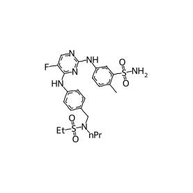 CCCN(Cc1ccc(Nc2nc(Nc3ccc(C)c(S(N)(=O)=O)c3)ncc2F)cc1)S(=O)(=O)CC